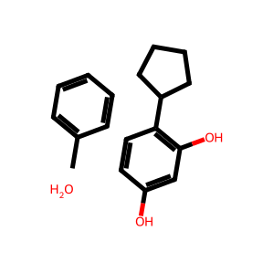 Cc1ccccc1.O.Oc1ccc(C2CCCC2)c(O)c1